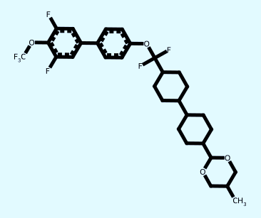 CC1COC(C2CCC(C3CCC(C(F)(F)Oc4ccc(-c5cc(F)c(OC(F)(F)F)c(F)c5)cc4)CC3)CC2)OC1